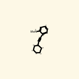 CNc1ccccc1C#CC1CCCCC1